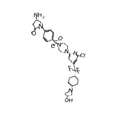 N[C@@H]1CC(=O)N(c2ccc(S(=O)(=O)N3CCN(c4cc(C(F)(F)[C@H]5CC[C@@H](N6CC(O)C6)CC5)cc(Cl)n4)CC3)cc2)C1